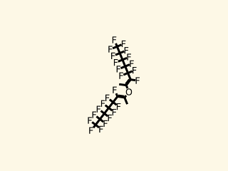 CC(OC(C)=C(F)C(F)(F)C(F)(F)C(F)(F)C(F)(F)C(F)(F)F)=C(F)C(F)(F)C(F)(F)C(F)(F)C(F)(F)C(F)(F)F